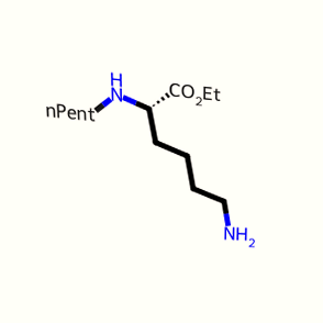 CCCCCN[C@@H](CCCCN)C(=O)OCC